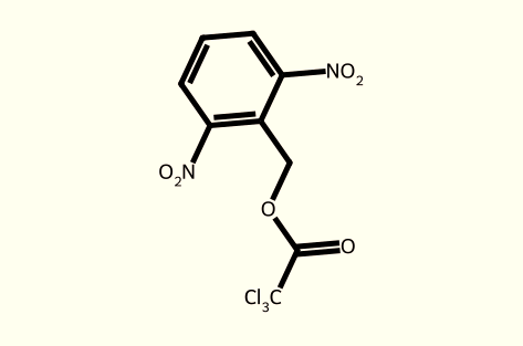 O=C(OCc1c([N+](=O)[O-])cccc1[N+](=O)[O-])C(Cl)(Cl)Cl